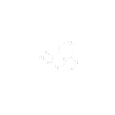 COCCc1n[nH]cc1Nc1c[c]nc(C)n1